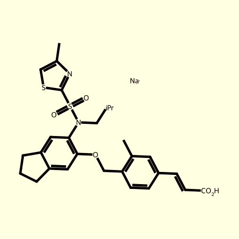 Cc1csc(S(=O)(=O)N(CC(C)C)c2cc3c(cc2OCc2ccc(C=CC(=O)O)cc2C)CCC3)n1.[Na]